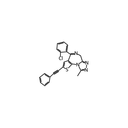 Cc1nnc2n1-c1sc(C#Cc3ccccc3)cc1C(c1ccccc1Cl)=NC2